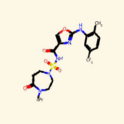 CCCN1CCN(S(=O)(=O)NC(=O)c2coc(Nc3cc(C(F)(F)F)ccc3C)n2)CCC1=O